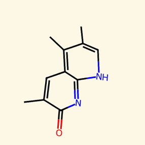 Cc1c[nH]c2nc(=O)c(C)cc-2c1C